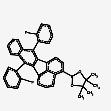 CC1(C)OB(c2ccc3c4c(cccc24)-c2c-3c(-c3ccccc3F)c3ccccc3c2-c2ccccc2F)OC1(C)C